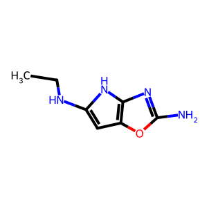 CCNc1cc2oc(N)nc2[nH]1